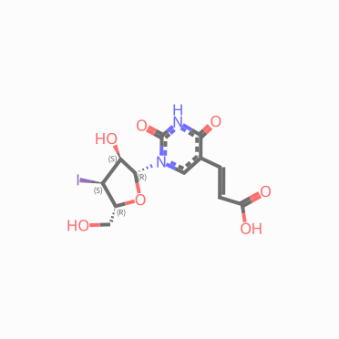 O=C(O)C=Cc1cn([C@@H]2O[C@H](CO)[C@@H](I)[C@H]2O)c(=O)[nH]c1=O